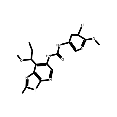 CCC(OC)c1c(NC(=O)NC2=CN=C(OC)C(Cl)C2)cnc2sc(C)nc12